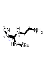 CCCCN/C(=N/C#N)NCCN